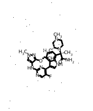 CCOc1nn(C)cc1Nc1ncc(F)c(-c2c[nH]c3c([C@](C)(C(N)=O)N4CCN(C)C[C@H]4C)cccc23)n1